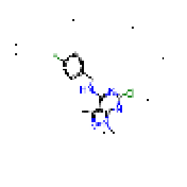 Cc1nn(C)c2nc(Cl)nc(NCc3ccc(F)cc3)c12